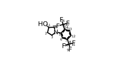 OC1CCN(c2cc(C(F)(F)F)ccc2C(F)(F)F)C1